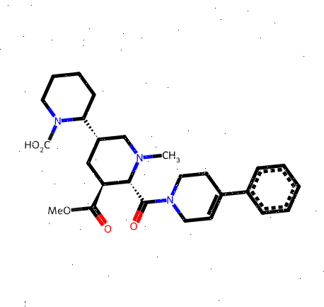 COC(=O)[C@H]1C[C@H](C2CCCCN2C(=O)O)CN(C)[C@@H]1C(=O)N1CC=C(c2ccccc2)CC1